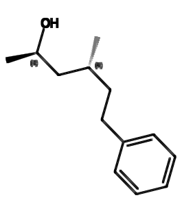 C[C@H](CCc1ccccc1)C[C@@H](C)O